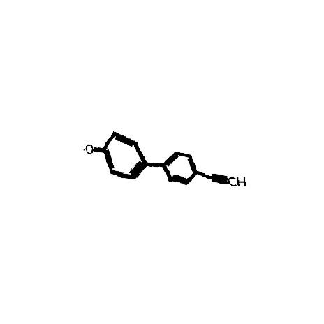 C#Cc1ccc(-c2ccc([O])cc2)cc1